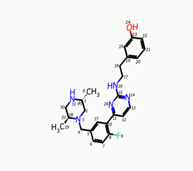 C[C@@H]1CN(Cc2ccc(F)c(-c3ccnc(NCCc4cccc(O)c4)n3)c2)[C@@H](C)CN1